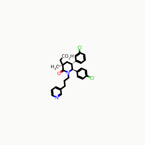 C[C@]1(CC(=O)O)C[C@H](c2cccc(Cl)c2)[C@@H](c2ccc(Cl)cc2)N(CCCc2cccnc2)C1=O